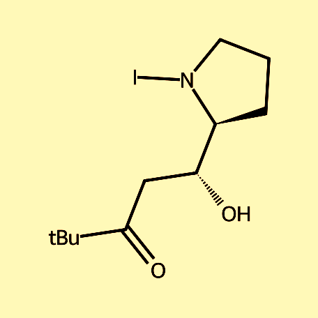 CC(C)(C)C(=O)C[C@@H](O)[C@@H]1CCCN1I